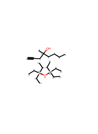 C#CCC(C)(O)CCCC.CC[Si](CC)(CC)O[Si](CC)(CC)CC